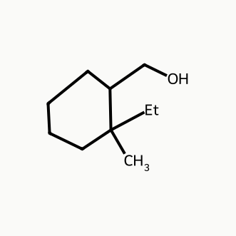 CCC1(C)CCCCC1CO